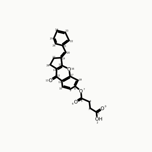 O=C(O)CCC(=O)Oc1ccc2c(=O)c3c(oc2c1)/C(=C/c1ccccc1)CC3